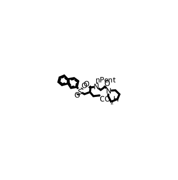 CCCCCN(CC(=O)N1CCCCC1)C(=O)C(CCC(=O)O)CS(=O)(=O)c1ccc2ccccc2c1